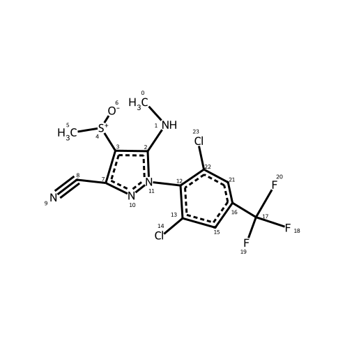 CNc1c([S+](C)[O-])c(C#N)nn1-c1c(Cl)cc(C(F)(F)F)cc1Cl